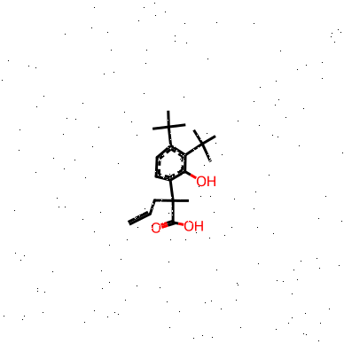 C=CCC(C)(C(=O)O)c1ccc(C(C)(C)C)c(C(C)(C)C)c1O